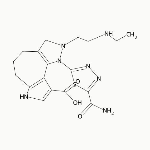 CCNCCN1CC2=C(c3c(C(=O)O)c[nH]c3CCC2)N1c1nnc(C(N)=O)s1